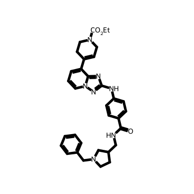 CCOC(=O)N1CC=C(c2cccn3nc(Nc4ccc(C(=O)NCC5CCN(Cc6ccccc6)C5)cc4)nc23)CC1